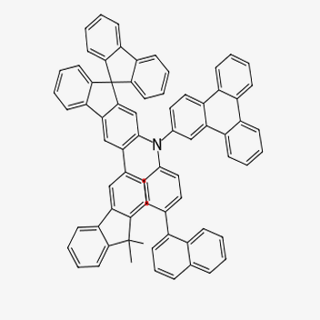 CC1(C)c2ccccc2-c2cc(-c3cc4c(cc3N(c3ccc(-c5cccc6ccccc56)cc3)c3ccc5c6ccccc6c6ccccc6c5c3)C3(c5ccccc5-c5ccccc53)c3ccccc3-4)ccc21